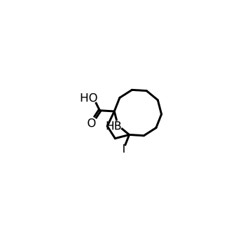 O=C(O)C12BC(I)(CCCCCCC1)CC2